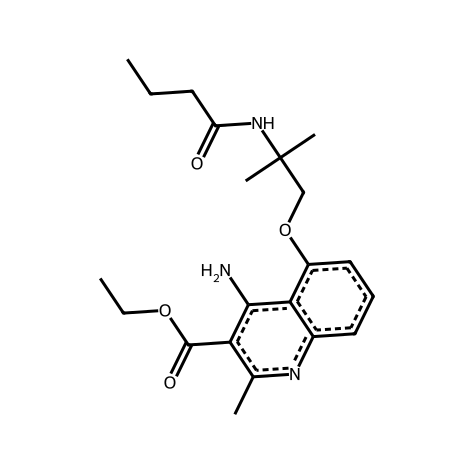 CCCC(=O)NC(C)(C)COc1cccc2nc(C)c(C(=O)OCC)c(N)c12